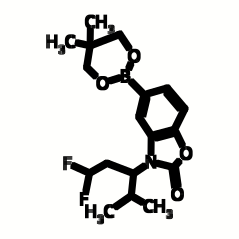 CC(C)C(CC(F)F)n1c(=O)oc2ccc(B3OCC(C)(C)CO3)cc21